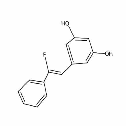 Oc1cc(O)cc(C=C(F)c2ccccc2)c1